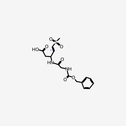 CS(=O)(=O)/C=C/C(CC(=O)O)NC(=O)CNC(=O)OCc1ccccc1